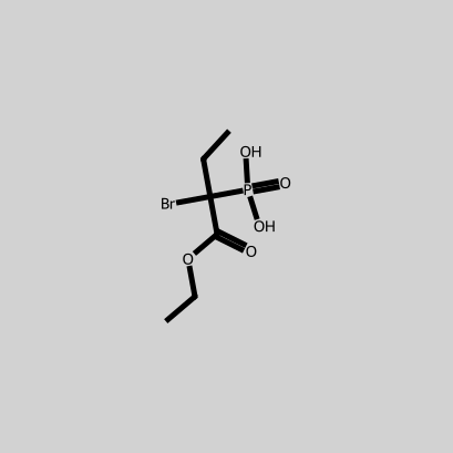 CCOC(=O)C(Br)(CC)P(=O)(O)O